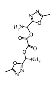 Cc1nnc(C(N)OC(=O)C(=O)OC(N)c2nnc(C)o2)o1